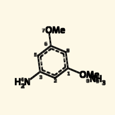 COc1cc(N)cc(OC)c1.N